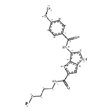 CC(C)OCCCNC(=O)c1cc2[nH]nc(NC(=O)c3ccc(OC(F)(F)F)cc3)c2s1